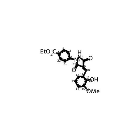 CCOC(=O)c1ccc(N2NC(=O)C(=Cc3cccc(OC)c3O)C2=O)cc1